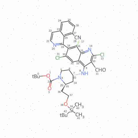 CC(C)(C)OC(=O)N1CC[C@H](Nc2c(C=O)c(Cl)nc3c(F)c(-c4nccc5cccc(C#N)c45)c(Cl)cc23)C[C@H]1CCO[Si](C)(C)C(C)(C)C